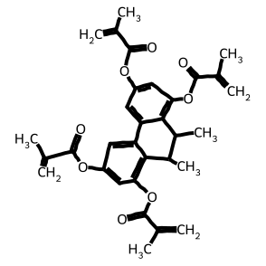 C=C(C)C(=O)Oc1cc(OC(=O)C(=C)C)c2c(c1)-c1cc(OC(=O)C(=C)C)cc(OC(=O)C(=C)C)c1C(C)C2C